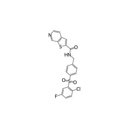 O=C(NCc1ccc(S(=O)(=O)c2cc(F)ccc2Cl)cc1)c1cc2ccncc2s1